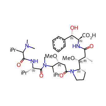 CO[C@H]([C@@H](C)C(=O)N[C@H](C(=O)O)[C@@H](O)c1ccccc1)[C@@H]1CCCN1C(=O)C[C@@H](OC)C(C(C)C)N(C)C(=O)[C@@H](NC(=O)C(C(C)C)N(C)C)C(C)C